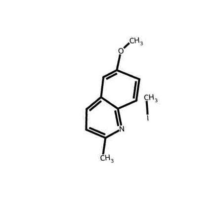 CI.COc1ccc2nc(C)ccc2c1